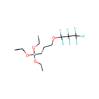 CCO[Si](CCCOC(F)(F)C(F)(F)C(F)(F)F)(OCC)OCC